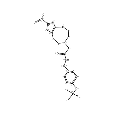 O=C(CN1CCOc2nc([N+](=O)[O-])cn2CC1)NNc1ccc(OC(F)(F)F)cc1